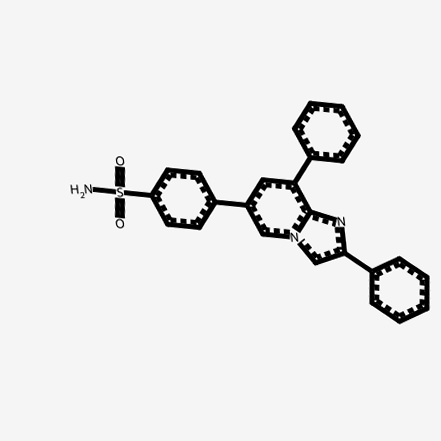 NS(=O)(=O)c1ccc(-c2cc(-c3ccccc3)c3nc(-c4ccccc4)cn3c2)cc1